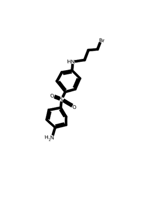 Nc1ccc(S(=O)(=O)c2ccc(NCCCBr)cc2)cc1